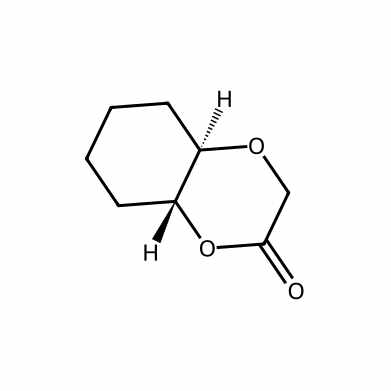 O=C1CO[C@@H]2CCCC[C@H]2O1